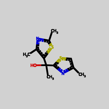 Cc1csc(C(C)(O)c2sc(C)nc2C)n1